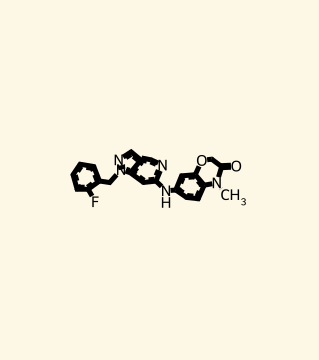 CN1C(=O)COc2cc(Nc3cc4c(cn3)cnn4Cc3ccccc3F)ccc21